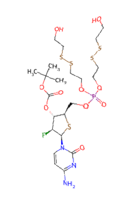 CC(C)(C)OC(=O)O[C@H]1[C@H](F)[C@H](n2ccc(N)nc2=O)S[C@@H]1COP(=O)(OCCSSCCO)OCCSSCCO